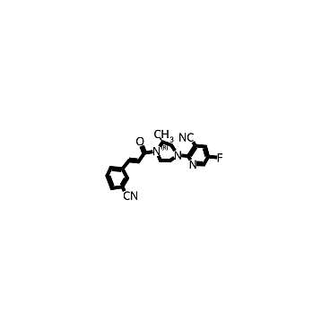 C[C@@H]1CN(c2ncc(F)cc2C#N)CCN1C(=O)C=Cc1cccc(C#N)c1